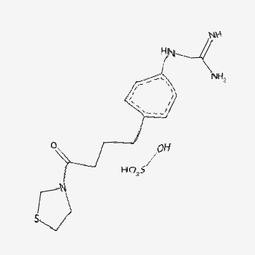 N=C(N)Nc1ccc(CCCC(=O)N2CCSC2)cc1.O=S(=O)(O)O